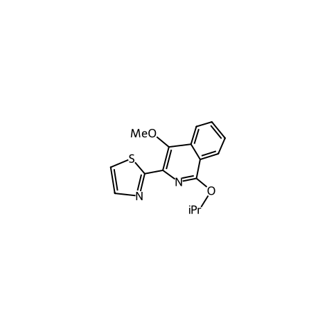 COc1c(-c2nccs2)nc(OC(C)C)c2ccccc12